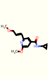 COC/C=C/c1cc(C(=O)NC2CC2)cc(OC)n1